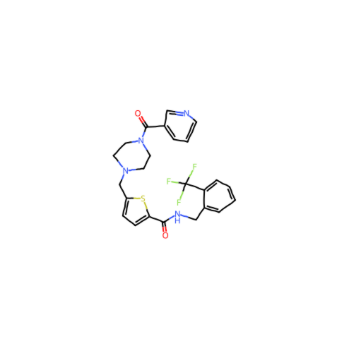 O=C(NCc1ccccc1C(F)(F)F)c1ccc(CN2CCN(C(=O)c3cccnc3)CC2)s1